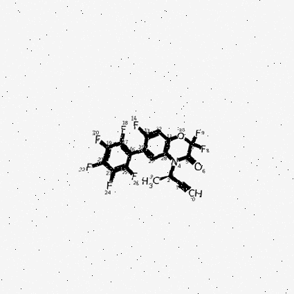 C#C[C@@H](C)N1C(=O)C(F)(F)Oc2cc(F)c(-c3c(F)c(F)c(F)c(F)c3F)cc21